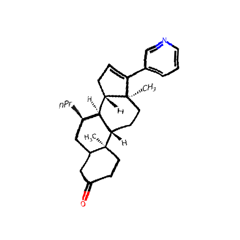 CCC[C@@H]1CC2CC(=O)CC[C@]2(C)[C@H]2CC[C@]3(C)C(c4cccnc4)=CC[C@H]3[C@H]12